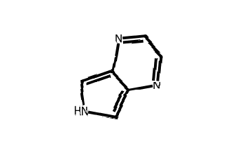 c1cnc2c[nH]cc2n1